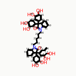 C=C/C=C(\C=C(\O)CO)C1(c2ccc(O)c(O)c2)C(=O)N(CCCCCCN2C(=O)C(c3ccc(O)c(O)c3)(c3ccc(O)c(O)c3)c3ccccc32)c2ccccc21